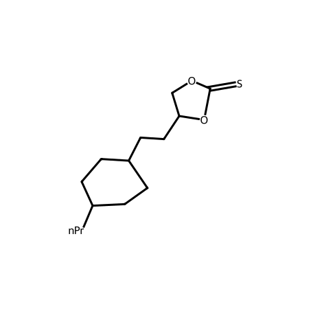 CCCC1CCC(CCC2COC(=S)O2)CC1